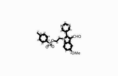 COc1ccc2c(c1)c(C=O)c(-c1cncnc1)n2CCOS(=O)(=O)c1ccc(C)cc1